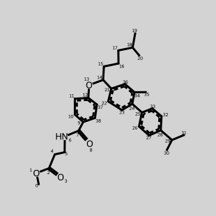 COC(=O)CCNC(=O)c1ccc(OC(CCCC(C)C)c2ccc(-c3ccc(C(C)C)cc3)c(C)c2)cc1